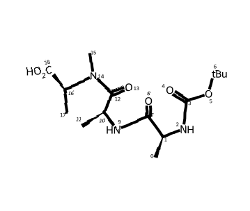 C[C@H](NC(=O)OC(C)(C)C)C(=O)N[C@@H](C)C(=O)N(C)[C@@H](C)C(=O)O